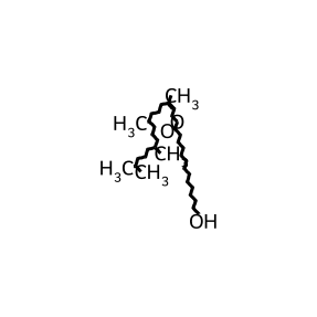 CC(=CCOC(=O)CCCCCCCCCCCCCO)CCCC(C)CCCC(C)CCCC(C)C